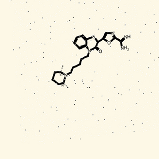 C[C@@H]1CCC[C@H](C)N1CCCCCN1C(=O)C(c2cnc(C(=N)N)o2)Sc2ccccc21